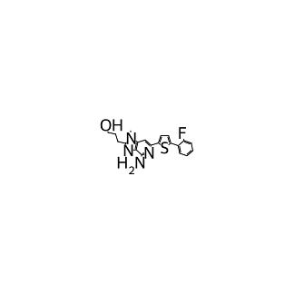 Cn1c(CCCO)nc2c(N)nc(-c3ccc(-c4ccccc4F)s3)cc21